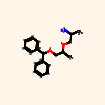 CC(N)COC(C)COC(c1ccccc1)c1ccccc1